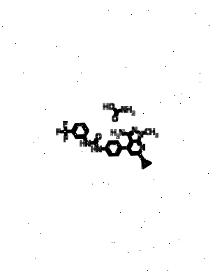 Cn1nc(N)c2c(-c3ccc(NC(=O)Nc4cccc(C(F)(F)F)c4)cc3)cc(C3CC3)nc21.NC(=O)O